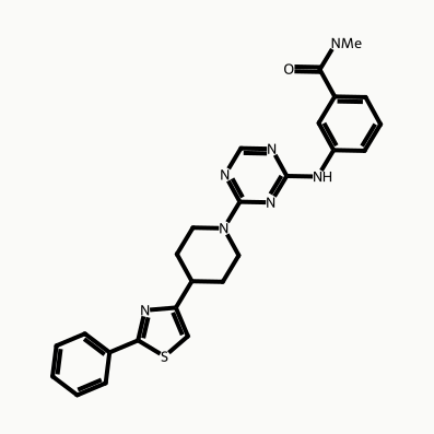 CNC(=O)c1cccc(Nc2ncnc(N3CCC(c4csc(-c5ccccc5)n4)CC3)n2)c1